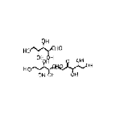 O=C(CO)[C@H](O)[C@H](O)CO.O=C[C@@H](O)[C@H](O)[C@H](O)CO.O=C[C@@H](O)[C@H](O)[C@H](O)CO